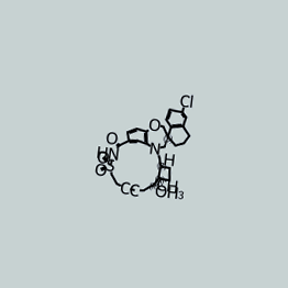 C[C@@]12CC[C@@H]1CN1C[C@@]3(CCCc4cc(Cl)ccc43)COc3ccc(cc31)C(=O)NS(=O)(=O)CCCCC[C@H]2O